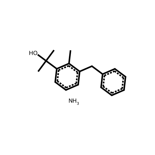 Cc1c(Cc2ccccc2)cccc1C(C)(C)O.N